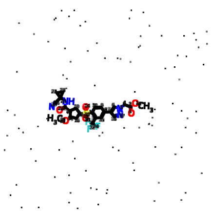 COC(=O)Cn1cc(-c2ccc(S(=O)(=O)[C@@H]3C[C@H](OC)[C@@H](C(=O)NC4(C#N)CC4)C3)c(C(F)(F)F)c2)cn1